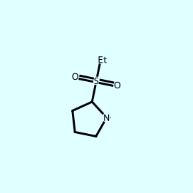 CCS(=O)(=O)C1CCC[N]1